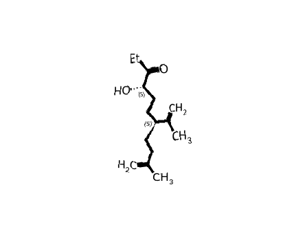 C=C(C)CC[C@@H](CC[C@H](O)C(=O)CC)C(=C)C